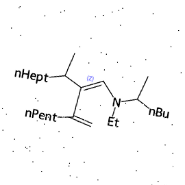 C=C(CCCCC)/C(=C\N(CC)C(C)CCCC)C(C)CCCCCCC